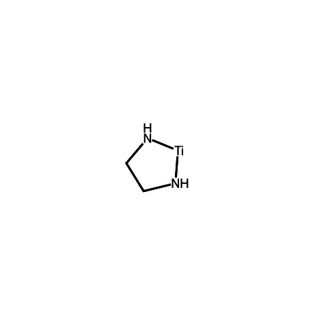 C1C[NH][Ti][NH]1